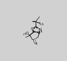 CCC(C)(C)c1nc2c(s1)C(C)(O)COC2